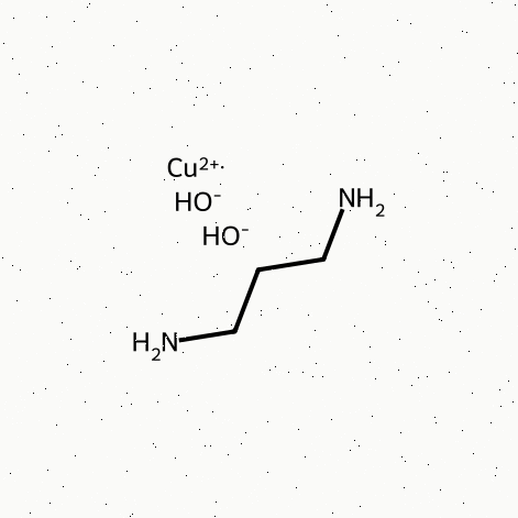 NCCCN.[Cu+2].[OH-].[OH-]